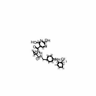 O=C(NC1(C(=O)NCc2ccc(Nc3ccccc3C(F)(F)F)cc2)CC1)c1cnc(O)nc1O